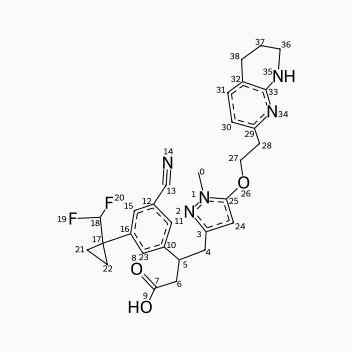 Cn1nc(CC(CC(=O)O)c2cc(C#N)cc(C3(C(F)F)CC3)c2)cc1OCCc1ccc2c(n1)NCCC2